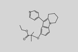 CCOC(=O)C(C)(C)Oc1ccc2c(c1)c(-c1ccncc1)c1n2CCCC1